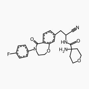 N#CC(Cc1ccc2c(c1)OCCN(c1ccc(F)cc1)C2=O)NC(=O)C1(N)CCOCC1